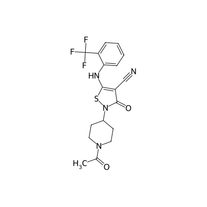 CC(=O)N1CCC(n2sc(Nc3ccccc3C(F)(F)F)c(C#N)c2=O)CC1